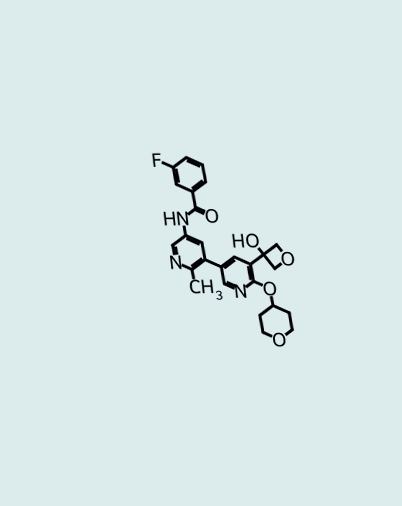 Cc1ncc(NC(=O)c2cccc(F)c2)cc1-c1cnc(OC2CCOCC2)c(C2(O)COC2)c1